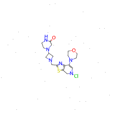 O=C1CN(C2CN(Cc3nc4c(s3)CN(Cl)C=C4N3CCOCC3)C2)CCN1